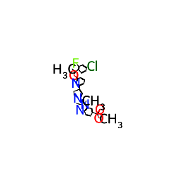 COC(=O)c1ccc2nc(CN3CC=C(c4cccc(OC(C)c5ccc(Cl)cc5F)n4)CC3)n(C)c2c1